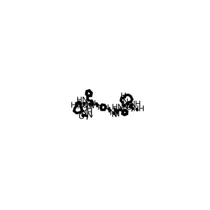 CN[C@@H](C)C(=O)N[C@H]1CCCC[C@H]2CC[C@@H](C(=O)N[C@H](c3ccccc3)c3cn(CCN4CCN(CCn5cc([C@@H](NC(=O)[C@@H]6CC[C@@H]7CCCC[C@H](NC(=O)[C@H](C)NC)C(=O)N76)c6ccccc6)nn5)CC4)nn3)N2C1=O